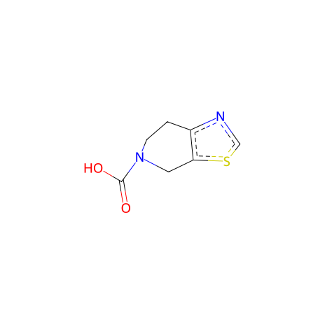 O=C(O)N1CCc2ncsc2C1